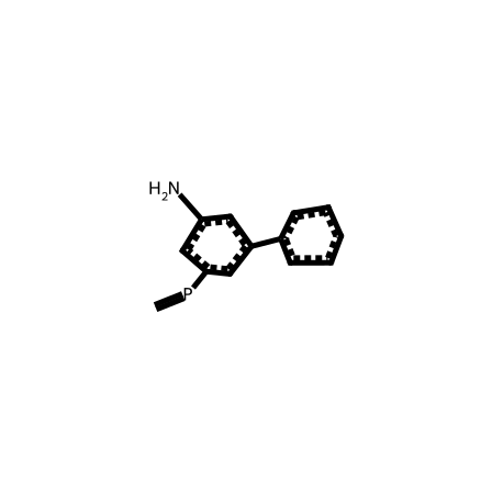 C=Pc1cc(N)cc(-c2ccccc2)c1